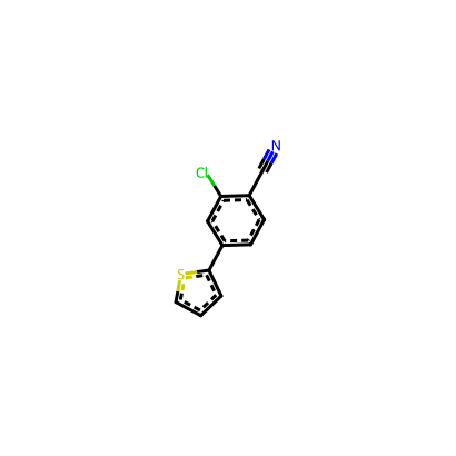 N#Cc1ccc(-c2cccs2)cc1Cl